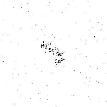 [Cd+2].[Hg+2].[Se-2].[Se-2]